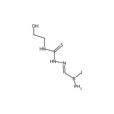 OCCNC(=S)NN=CB(P)I